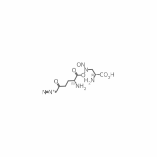 [N-]=[N+]=CC(=O)CC[C@H](N)C(=O)ON(C[C@H](N)C(=O)O)N=O